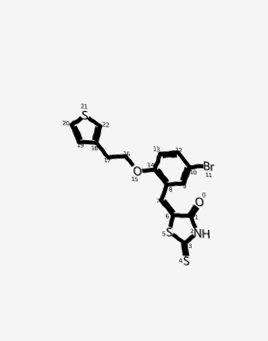 O=C1NC(=S)SC1=Cc1cc(Br)ccc1OCCc1ccsc1